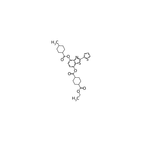 CCOC(=O)C1CCC(C(=O)Oc2ccc(OC(=O)C3CCC(C)CC3)c3nc(-c4cccs4)sc23)CC1